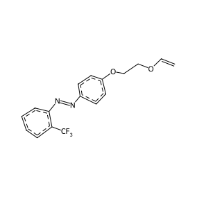 C=COCCOc1ccc(N=Nc2ccccc2C(F)(F)F)cc1